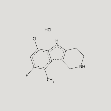 Cc1c(F)cc(Cl)c2[nH]c3c(c12)CNCC3.Cl